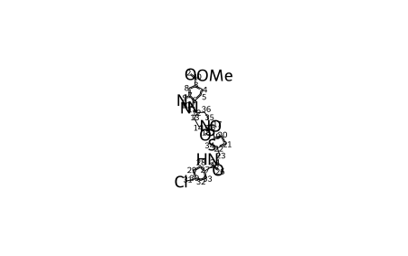 COC(=O)c1ccc2c(c1)nnn2C1CCN(S(=O)(=O)c2ccc(CNC(=O)c3ccc(Cl)cc3)s2)CC1